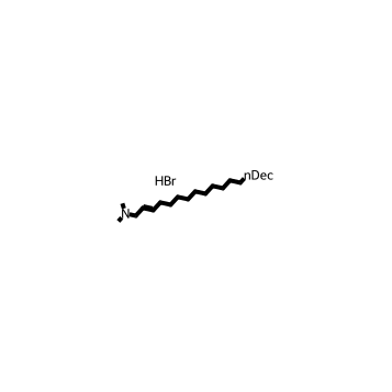 Br.CCCCCCCCCCCCCCCCCCCCC=CCN(C)C